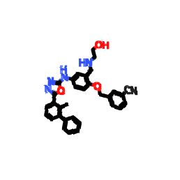 Cc1c(-c2ccccc2)cccc1-c1nnc(Nc2ccc(OCc3cccc(C#N)c3)c(CNCCO)c2)o1